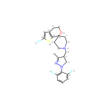 CC1=NN(c2c(F)cccc2F)CC1CN1CCC2(CC1)OCCc1cc(F)sc12